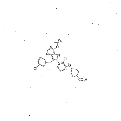 CC1(Oc2ncnc3c2nc(-c2cccc(OC4CCC(C(=O)O)CC4)c2Cl)n3Cc2cccc(Cl)c2)CC1